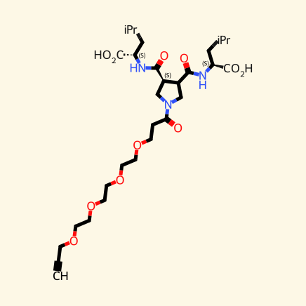 C#CCOCCOCCOCCOCCC(=O)N1CC(C(=O)N[C@@H](CC(C)C)C(=O)O)[C@H](C(=O)N[C@@H](CC(C)C)C(=O)O)C1